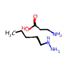 CCCCCNN.NCCC(=O)O